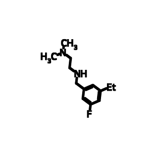 CCc1cc(F)cc(CNCCN(C)C)c1